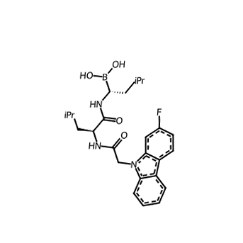 CC(C)C[C@H](NC(=O)[C@H](CC(C)C)NC(=O)Cn1c2ccccc2c2ccc(F)cc21)B(O)O